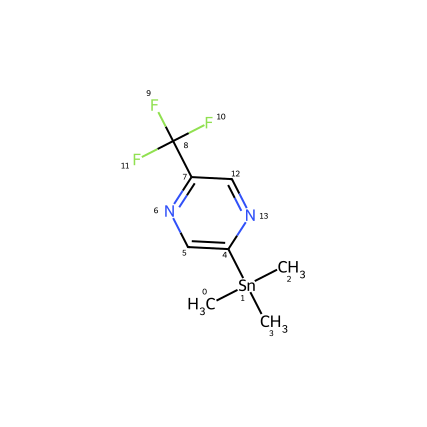 [CH3][Sn]([CH3])([CH3])[c]1cnc(C(F)(F)F)cn1